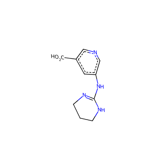 O=C(O)c1cncc(NC2=NCCCN2)c1